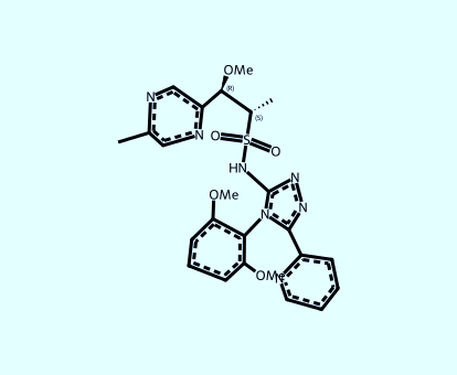 COc1cccc(OC)c1-n1c(NS(=O)(=O)[C@@H](C)[C@H](OC)c2cnc(C)cn2)nnc1-c1ccccn1